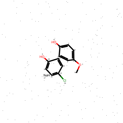 COc1ccc(O)cc1.Oc1ccc(Cl)cc1.[NaH]